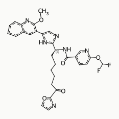 COc1nc2ccccc2cc1-c1cnc([C@H](CCCCCC(=O)c2ncco2)NC(=O)c2ccc(OC(F)F)nc2)[nH]1